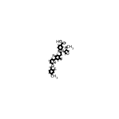 CO[C@@H]1COC[C@@H]1n1c(Cc2cc(F)c(-c3cccc(OCc4ccc(C)cc4F)n3)cc2F)nc2ccc(C(=O)O)cc21